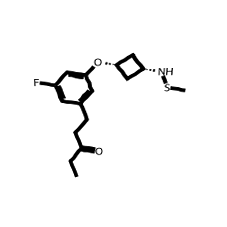 CCC(=O)CCc1cc(F)cc(O[C@H]2C[C@@H](NSC)C2)c1